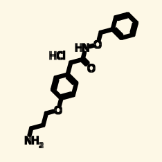 Cl.NCCCOc1ccc(CC(=O)NOCc2ccccc2)cc1